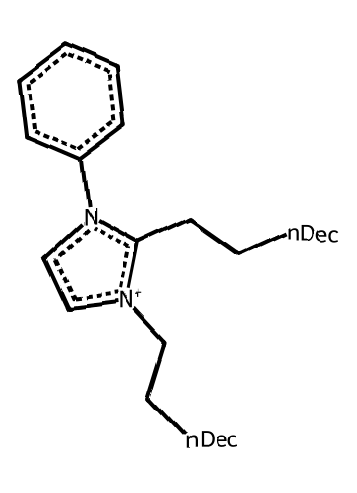 CCCCCCCCCCCCc1n(-c2ccccc2)cc[n+]1CCCCCCCCCCCC